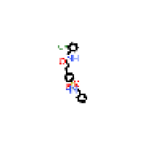 O=C(CCc1ccc(S(=O)(=O)NCc2ccccc2)cc1)NCc1ccccc1Cl